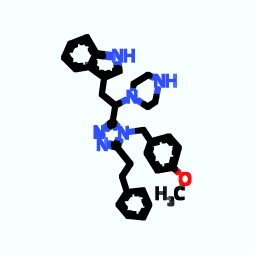 COc1ccc(Cn2c(CCc3ccccc3)nnc2C(Cc2c[nH]c3ccccc23)N2CCNCC2)cc1